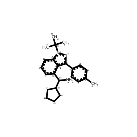 Cc1ccc(-c2nn(C(C)(C)C)c3cccc(C(N)C4CCCC4)c23)cc1